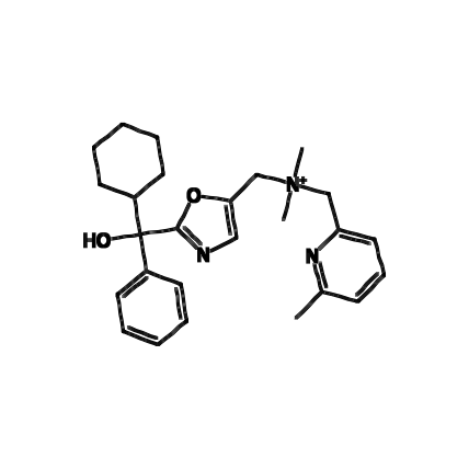 Cc1cccc(C[N+](C)(C)Cc2cnc(C(O)(c3ccccc3)C3CCCCC3)o2)n1